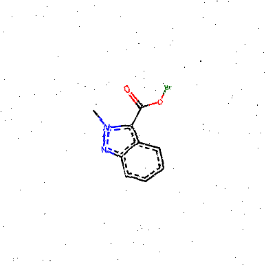 Cn1nc2ccccc2c1C(=O)OBr